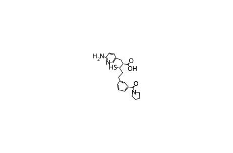 Nc1ccc(CC(C(=O)O)C(S)CCc2cccc(C(=O)N3CCCC3)c2)cn1